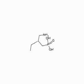 CCC(CN)CP(=O)(O)O